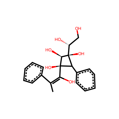 CC(=C(O)[C@@]1(O)C(c2ccccc2)[C@@](O)([C@H](O)CO)[C@@H]1O)c1ccccc1